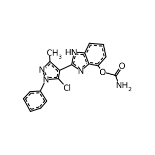 Cc1nn(-c2ccccc2)c(Cl)c1-c1nc2c(OC(N)=O)cccc2[nH]1